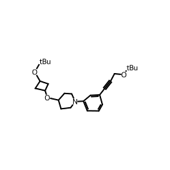 CC(C)(C)OCC#Cc1cccc(N2CCC(OC3CC(OC(C)(C)C)C3)CC2)c1